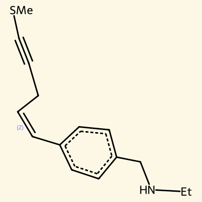 CCNCc1ccc(/C=C\CC#CSC)cc1